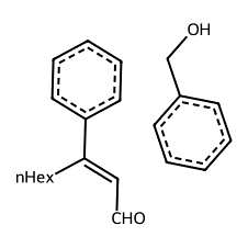 CCCCCCC(=CC=O)c1ccccc1.OCc1ccccc1